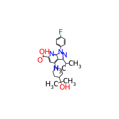 CC(C)c1nn(-c2ccc(F)cc2)c2nc(C(=O)O)cc(N3CCC(C(C)(C)O)CC3)c12